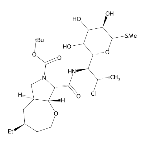 CC[C@@H]1CCO[C@@H]2[C@@H](C1)CN(C(=O)OC(C)(C)C)[C@@H]2C(=O)N[C@H]([C@H](C)Cl)[C@H]1OC(SC)[C@H](O)C(O)C1O